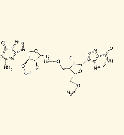 Nc1nc2c(ncn2[C@@H]2OC(OPOC[C@H]3[C@H](F)[C@H](n4cnc5c(=O)[nH]cnc54)O[C@@H]3COP)[C@@H](F)[C@H]2OO)c(=O)[nH]1